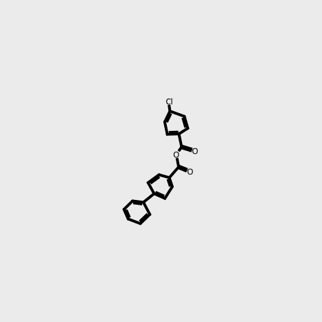 O=C(OC(=O)c1ccc(-c2ccccc2)cc1)c1ccc(Cl)cc1